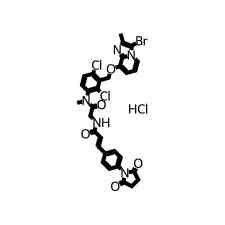 Cc1nc2c(OCc3c(Cl)ccc(N(C)C(=O)CNC(=O)/C=C/c4ccc(N5C(=O)CCC5=O)cc4)c3Cl)cccn2c1Br.Cl